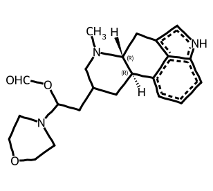 CN1CC(CC(OC=O)N2CCOCC2)C[C@@H]2c3cccc4[nH]cc(c34)C[C@H]21